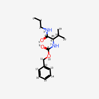 CCCNC(=O)[C@H](NC(=O)OCc1ccccc1)C(C)C